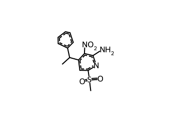 CC(c1ccccc1)c1cc(S(C)(=O)=O)nc(N)c1[N+](=O)[O-]